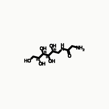 NCC(=O)NC[C@H](O)[C@@H](O)[C@H](O)[C@H](O)CO